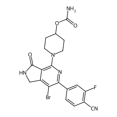 N#Cc1ccc(-c2nc(N3CCC(OC(N)=O)CC3)c3c(c2Br)CNC3=O)cc1F